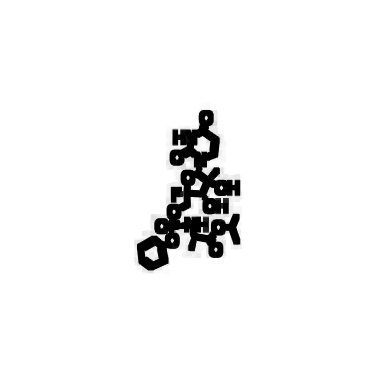 CC(C)OC(=O)[C@@H](C)N[P@@](=O)(OC[C@@]1(F)O[C@@H](n2ccc(=O)[nH]c2=O)[C@](C)(O)[C@@H]1O)Oc1ccccc1